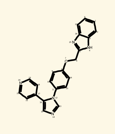 c1ccc2[nH]c(COc3ccc(-n4cncc4-c4ccncc4)cc3)nc2c1